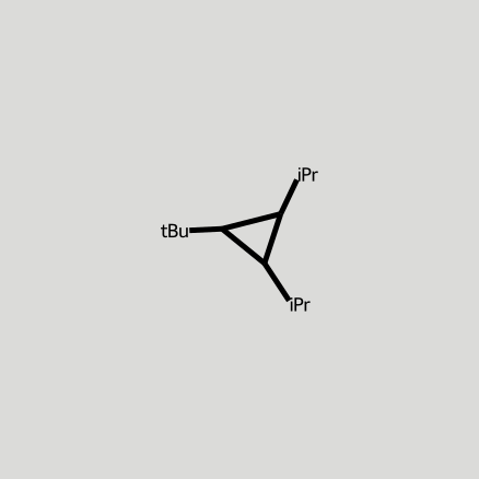 CC(C)C1C(C(C)C)C1C(C)(C)C